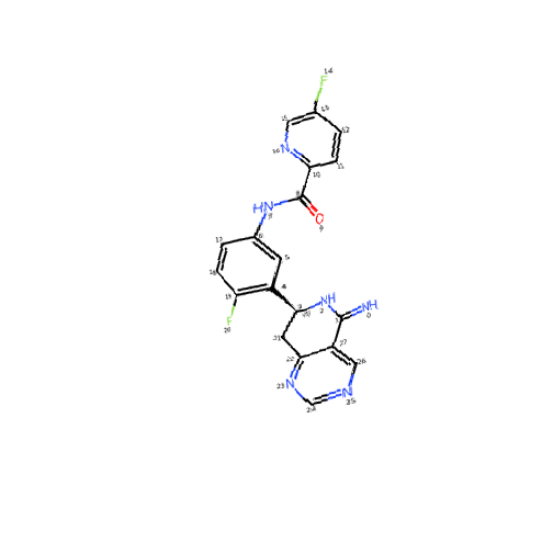 N=C1N[C@H](c2cc(NC(=O)c3ccc(F)cn3)ccc2F)Cc2ncncc21